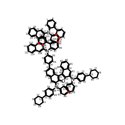 c1ccc(-c2ccccc2N(c2ccccc2)c2cc3ccccc3c3c2oc2c(N(c4ccc(-c5ccc6cc(N(c7ccccc7)c7ccc(C8CCCCC8)cc7)c7oc8c(N(c9ccccc9)c9ccc(C%10CCCCC%10)cc9)cc9ccccc9c8c7c6c5)cc4)c4ccccc4-c4ccccc4)cc4ccccc4c23)cc1